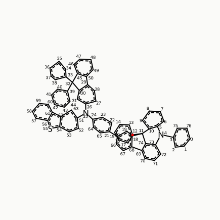 c1ccc(N2c3ccccc3C3(c4ccccc4)c4cc(-c5ccc(N(c6ccc7c(c6)C(c6ccccc6)(c6ccccc6)c6ccccc6-7)c6ccc7sc8ccccc8c7c6)cc5)ccc4-c4cccc2c43)cc1